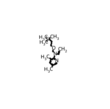 C=CN(COCC[Si](C)(C)C)c1ncc(C)cc1C